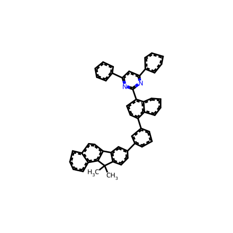 CC1(C)c2ccc(-c3cccc(-c4ccc(-c5nc(-c6ccccc6)cc(-c6ccccc6)n5)c5ccccc45)c3)cc2-c2ccc3ccccc3c21